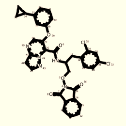 O=C(NC(CON1C(=O)c2ccccc2C1=O)Cc1ccc(Cl)cc1Cl)c1c(Oc2cccc(C3CC3)c2)cnc2ccnn12